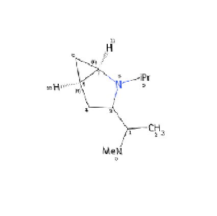 CNC(C)C1C[C@H]2C[C@H]2N1C(C)C